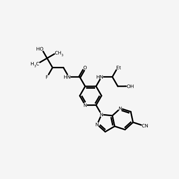 CCC(CO)Nc1cc(-n2ncc3cc(C#N)cnc32)ncc1C(=O)NCC(F)C(C)(C)O